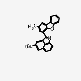 Cc1cc(C2=Nc3cccc4cc(C(C)(C)C)cc2c34)c2oc3ccccc3c2c1